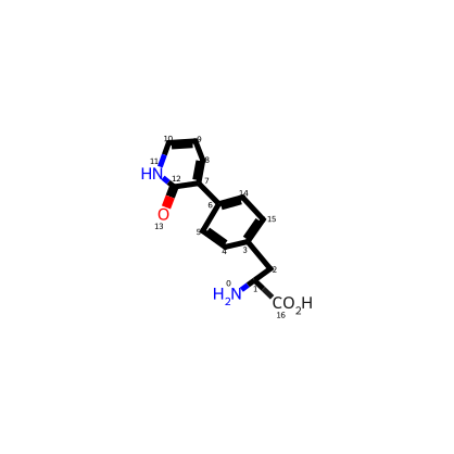 NC(Cc1ccc(-c2ccc[nH]c2=O)cc1)C(=O)O